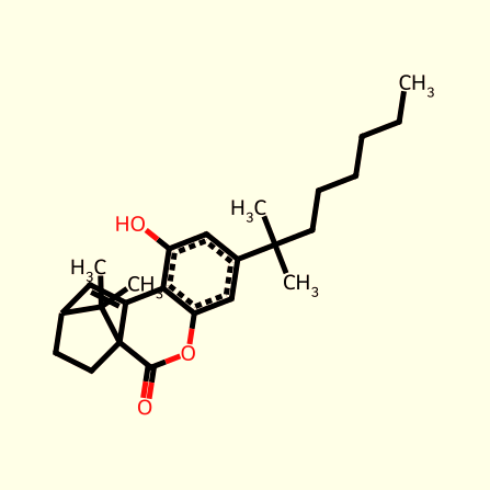 CCCCCCC(C)(C)c1cc(O)c2c(c1)OC(=O)C13CCC(C=C21)C3(C)C